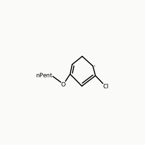 CCCCCOC1=CC[C]C(Cl)=C1